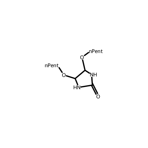 CCCCCOC1NC(=O)NC1OCCCCC